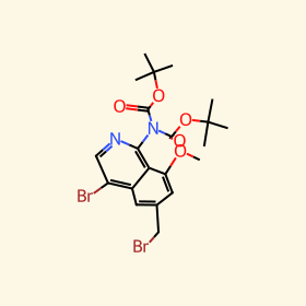 COc1cc(CBr)cc2c(Br)cnc(N(C(=O)OC(C)(C)C)C(=O)OC(C)(C)C)c12